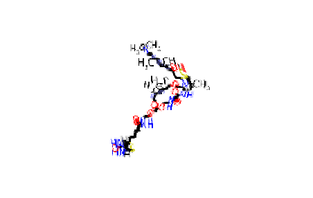 CC(/C=C/C(C)=C/C(O)Cc1nc([C@@H](C)C[C@H](CC(=O)OC(C)C/C(C)=C/C=C\C=O)NCC(=O)NCCOCCOCCNC(=O)CCCCC2SC[C@@H]3NC(=O)N[C@H]23)cs1)=C\CN(C)C